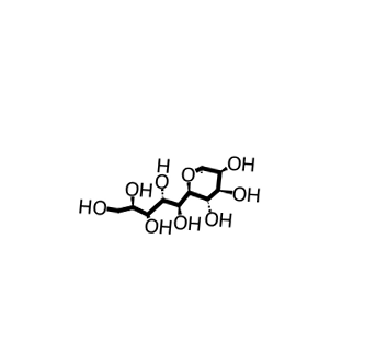 OC[C@@H](O)[C@H](O)[C@H](O)[C@H](O)[C@H]1O[CH][C@@H](O)[C@@H](O)[C@@H]1O